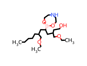 CCCCCC(COCC)CC(CC(CCO)COCC)B1OCCNCCO1